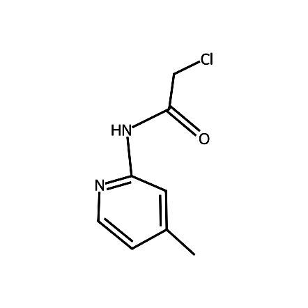 Cc1ccnc(NC(=O)CCl)c1